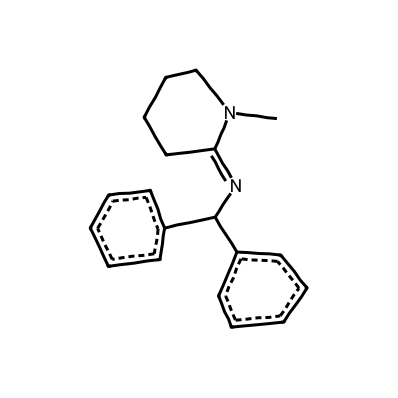 CN1CCCCC1=NC(c1ccccc1)c1ccccc1